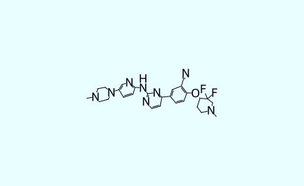 CN1CCN(c2ccc(Nc3nccc(-c4ccc(OC5CCN(C)CC5(F)F)c(C#N)c4)n3)nc2)CC1